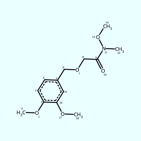 COc1ccc(COCC(=O)N(C)OC)cc1OC